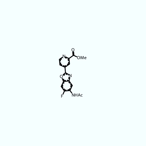 COC(=O)c1cc(-c2nc3cc(NC(C)=O)c(F)cc3o2)ccn1